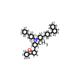 Cc1cc(-c2cccc3c2oc2ccccc23)ccc1N(c1ccc(-c2ccccc2)cc1)c1ccc(-c2ccc(-c3cccc4ccccc34)cc2)cc1